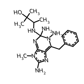 CC(NC1(N)N=c2c(nc(N)n2C)=C(Cc2ccccc2)N1N)C(C)(C)O